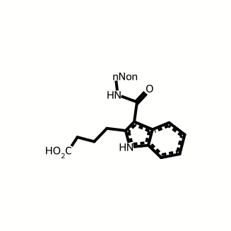 CCCCCCCCCNC(=O)c1c(CCCC(=O)O)[nH]c2ccccc12